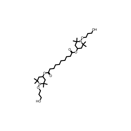 CC1(C)CC(OC(=O)CCCCCCCCC(=O)OC2CC(C)(C)N(OCCCO)C(C)(C)C2)CC(C)(C)N1OCCCO